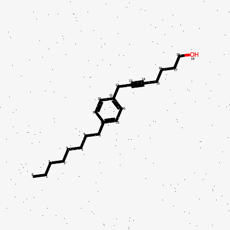 CCCCCCCCc1ccc(CC#CCCCCO)cc1